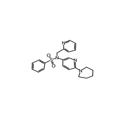 O=S(=O)(c1ccccc1)N(Cc1ccccn1)c1ccc(N2CCCCC2)nc1